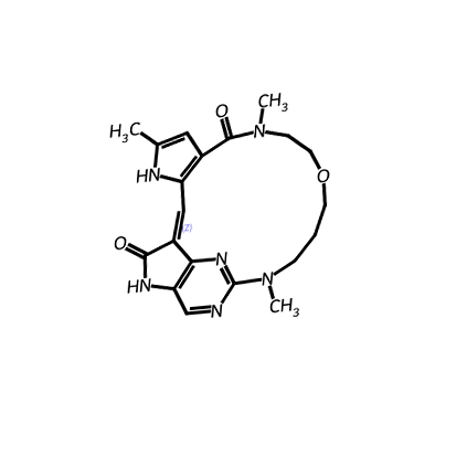 Cc1cc2c([nH]1)/C=C1\C(=O)Nc3cnc(nc31)N(C)CCCOCCN(C)C2=O